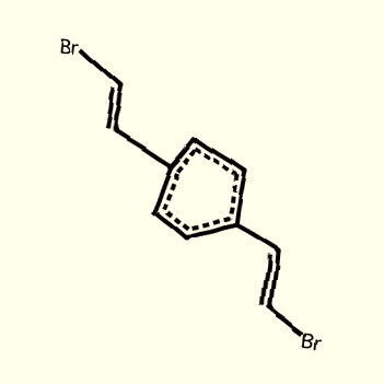 BrC=Cc1ccc(C=CBr)cc1